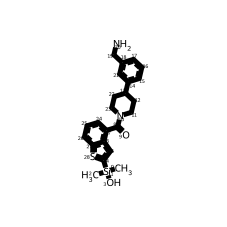 C[Si](C)(O)c1cc2c(C(=O)N3CCC(c4cccc(CN)c4)CC3)cccc2s1